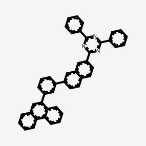 c1ccc(-c2nc(-c3ccccc3)nc(-c3ccc4ccc(-c5cccc(-c6cc7ccccc7c7ccccc67)c5)cc4c3)n2)cc1